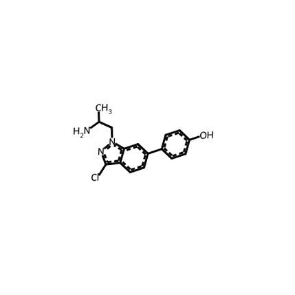 CC(N)Cn1nc(Cl)c2ccc(-c3ccc(O)cc3)cc21